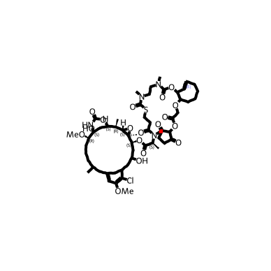 COC1=C(Cl)C2CC(=C1)CC(C)CCC[C@@H](OC)[C@@]1(O)C[C@H](OC(=O)N1)[C@@H](C)[C@@H]1O[C@@]1(C)[C@@H](OC(=O)[C@H](C)N(C)C(=O)CCSC(=O)N(C)CCN(C)C(=O)OC1/C=C/CCCCC1OCC(=O)OC1C(=O)CCC1=O)CC(O)C2